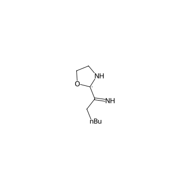 CCCCCC(=N)[C]1NCCO1